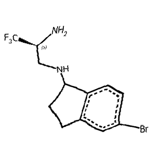 N[C@@H](CNC1CCc2cc(Br)ccc21)C(F)(F)F